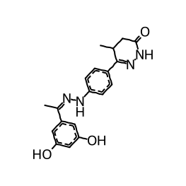 CC(=NNc1ccc(C2=NNC(=O)CC2C)cc1)c1cc(O)cc(O)c1